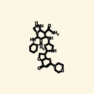 NC(=O)C1C(NC2CNC(C3COC4C(=O)C=C(N5CCOCC5)SC43)S2)NC(N[C@H]2CCCC[C@H]2N)N2CNNC12